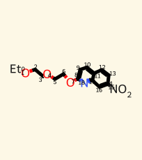 CCOCCOCCOc1ccc2ccc([N+](=O)[O-])cc2n1